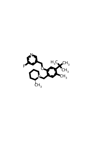 Cc1cc(CN2CCCC[C@H]2C)c(OCc2cncc(F)c2)cc1C(C)(C)C